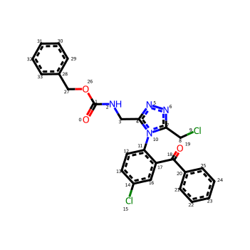 O=C(NCc1nnc(CCl)n1-c1ccc(Cl)cc1C(=O)c1ccccc1)OCc1ccccc1